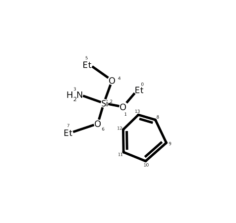 CCO[Si](N)(OCC)OCC.c1ccccc1